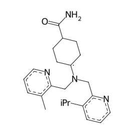 Cc1cccnc1CN(Cc1ncccc1C(C)C)[C]1CCC(C(N)=O)CC1